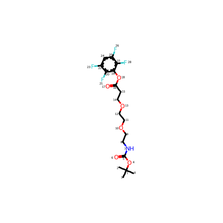 CC(C)(C)OC(=O)NCCOCCOCCC(=O)Oc1c(F)c(F)cc(F)c1F